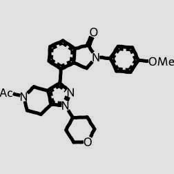 COc1ccc(N2Cc3c(cccc3-c3nn(C4CCOCC4)c4c3CN(C(C)=O)CC4)C2=O)cc1